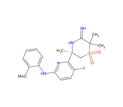 COc1ccccc1Nc1ccc(F)c([C@]2(C)CS(=O)(=O)C(C)(C)C(=N)N2)n1